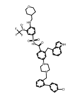 O=C(NS(=O)(=O)c1ccc(NCC2CCOCC2)c([S+]([O-])C(F)(F)F)c1)c1ccc(N2CCN(Cc3ccccc3-c3ccc(Cl)cc3)CC2)cc1Cc1cccc2[nH]ccc12